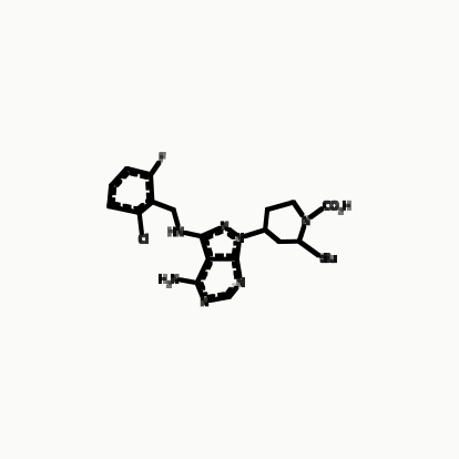 CC(C)(C)C1CC(n2nc(NCc3c(F)cccc3Cl)c3c(N)ncnc32)CCN1C(=O)O